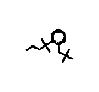 CCCC(C)(C)c1ccccc1CC(C)(C)C